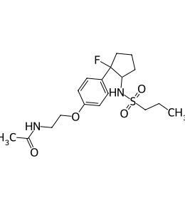 CCCS(=O)(=O)NC1CCCC1(F)c1ccc(OCCNC(C)=O)cc1